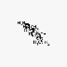 CC(C)OC(=O)[C@@H](C)N[P@]1(=O)OC[C@H]2O[C@@H](n3ccc(N)nc3=O)[C@](C)(Cl)[C@@H]2O1